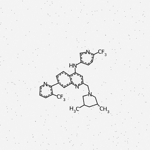 CC1CC(C)CN(Cc2cc(Nc3ccc(C(F)(F)F)nc3)c3ccc(-c4ncccc4C(F)(F)F)cc3n2)C1